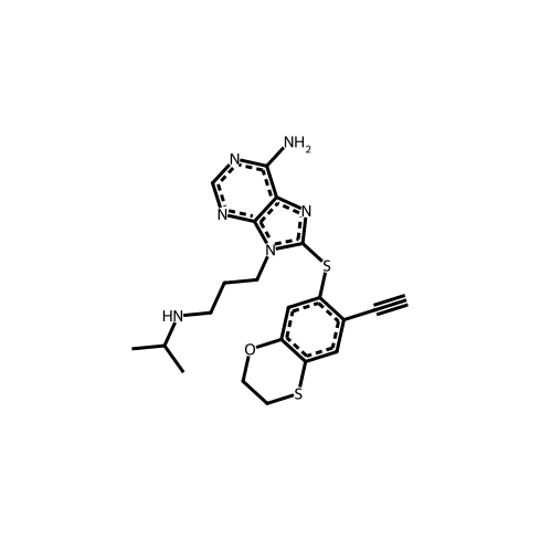 C#Cc1cc2c(cc1Sc1nc3c(N)ncnc3n1CCCNC(C)C)OCCS2